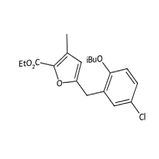 CCOC(=O)c1oc(Cc2cc(Cl)ccc2OCC(C)C)cc1C